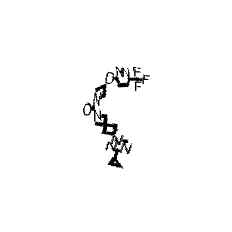 O=C(N1CC(Oc2ccc(C(F)(F)F)nn2)C1)N1CC2(CC(n3cnc(C4CC4)n3)C2)C1